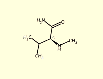 CN[C@H](C(N)=O)C(C)C